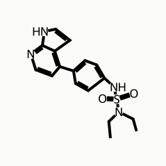 CCN(CC)S(=O)(=O)Nc1ccc(-c2ccnc3[nH]ccc23)cc1